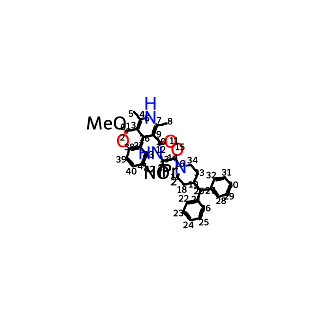 COC(=O)C1=C(C)NC(C)=C(C(=O)NC(C(=O)N2CCC(C(c3ccccc3)c3ccccc3)CC2)C(C)C)C1c1cccc([N+](=O)[O-])c1